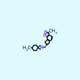 Cc1noc2c3c(ccc12)C[C@@H](CN1CC2(CCC(C)CC2)C1)C3